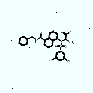 CC(C(=O)O)N(c1cccc2c(C(=O)NCc3ccccc3)cccc12)S(=O)(=O)c1cc(Cl)cc(Cl)c1